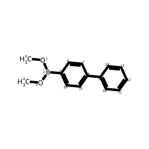 COB(OC)c1ccc(-c2ccccc2)cc1